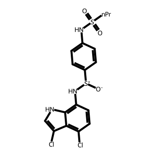 CCCS(=O)(=O)Nc1ccc([S+]([O-])Nc2ccc(Cl)c3c(Cl)c[nH]c23)cc1